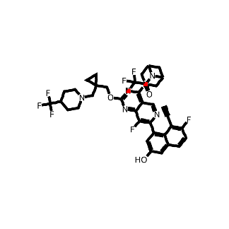 C#Cc1c(F)ccc2cc(O)cc(-c3ncc4c(N5CC6CC(C5)N6C(=O)C(F)(F)F)nc(OCC5(CN6CCC(C(F)(F)F)CC6)CC5)nc4c3F)c12